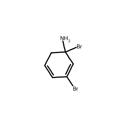 NC1(Br)C=C(Br)C=CC1